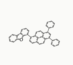 c1ccc(-c2cc(-c3ccccc3)c3ccc4c(-c5cccc6c5oc5ccccc56)ccc5ccc2c3c54)cc1